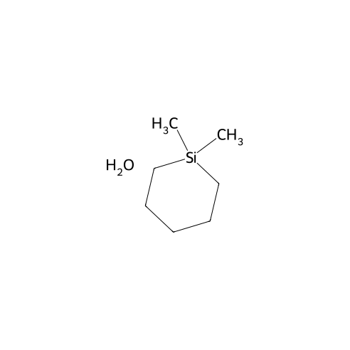 C[Si]1(C)CCCCC1.O